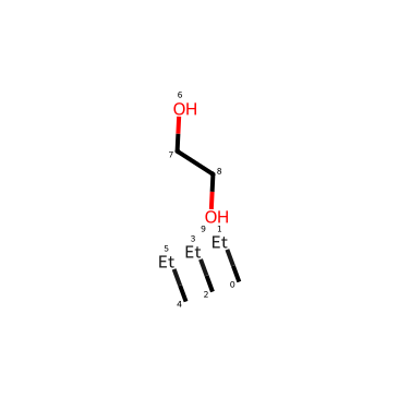 CCC.CCC.CCC.OCCO